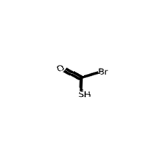 O=C(S)Br